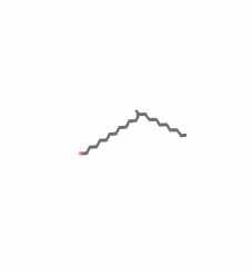 CCCCCCCCCC(C)CCCCCCCCCCCC(=O)O